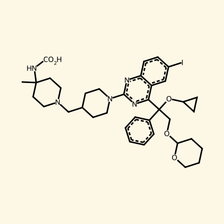 CC1(NC(=O)O)CCN(CC2CCN(c3nc(C(COC4CCCCO4)(OC4CC4)c4ccccc4)c4cc(I)ccc4n3)CC2)CC1